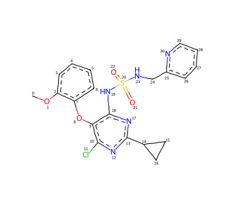 COc1ccccc1Oc1c(Cl)nc(C2CC2)nc1NS(=O)(=O)NCc1ccccn1